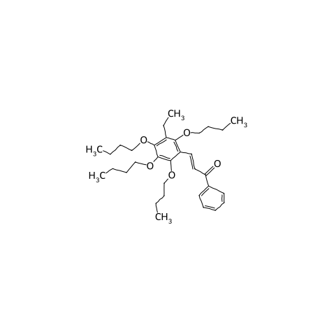 CCCCOc1c(C=CC(=O)c2ccccc2)c(OCCCC)c(OCCCC)c(OCCCC)c1CC